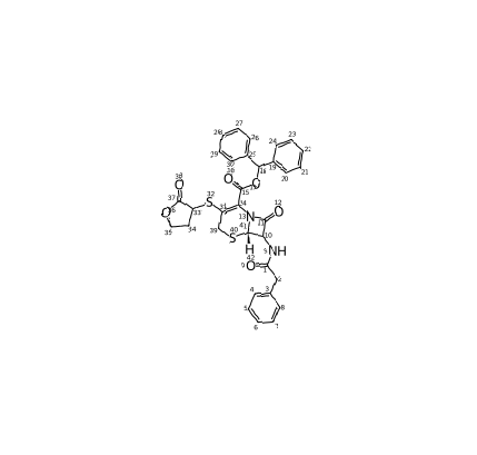 O=C(Cc1ccccc1)NC1C(=O)N2C(C(=O)OC(c3ccccc3)c3ccccc3)=C(SC3CCOC3=O)CS[C@@H]12